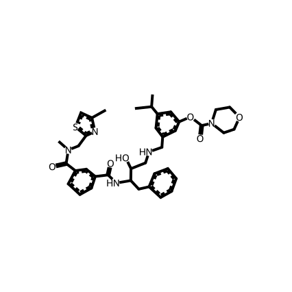 Cc1csc(CN(C)C(=O)c2cccc(C(=O)NC(Cc3ccccc3)C(O)CNCc3cc(OC(=O)N4CCOCC4)cc(C(C)C)c3)c2)n1